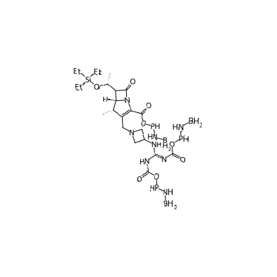 BNPOC(=O)/N=C(/NC(=O)OPNB)NC1CN(CC2=C(C(=O)OPNB)N3C(=O)C([C@@H](C)O[Si](CC)(CC)CC)[C@H]3[C@H]2C)C1